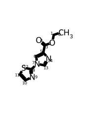 CCOC(=O)c1cn(-c2nccs2)cn1